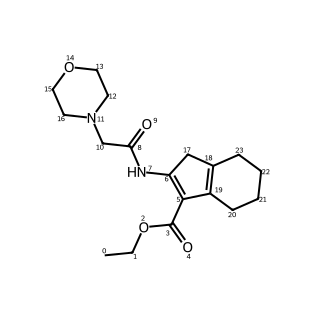 CCOC(=O)C1=C(NC(=O)CN2CCOCC2)CC2=C1CCCC2